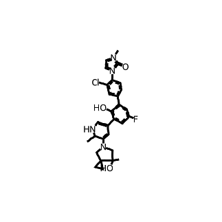 CC1NC=C(c2cc(F)cc(-c3ccc(-n4ccn(C)c4=O)c(Cl)c3)c2O)C=C1N1CC(C)(O)C2(CC2)C1